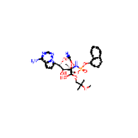 COC(C)(C)COC(O)[C@H](C)NP(=O)(OC[C@@H](OC#N)[C@@H](O)[C@@H](O)c1ccc2c(N)ncnn12)Oc1cccc2ccccc12